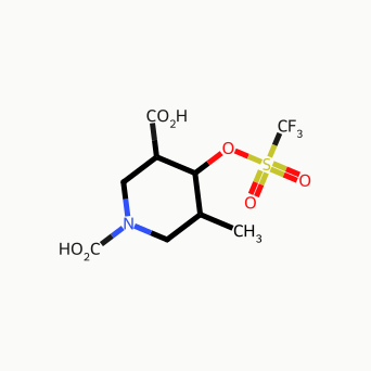 CC1CN(C(=O)O)CC(C(=O)O)C1OS(=O)(=O)C(F)(F)F